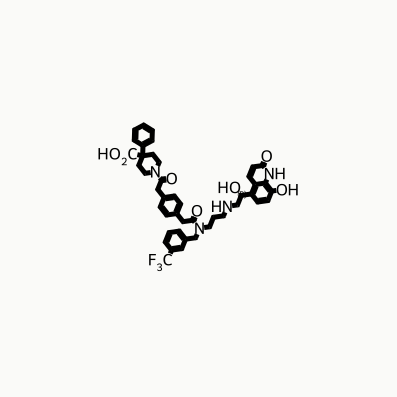 O=C(Cc1ccc(CC(=O)N(CCCNC[C@H](O)c2ccc(O)c3[nH]c(=O)ccc23)Cc2cccc(C(F)(F)F)c2)cc1)N1CCC(C(=O)O)(c2ccccc2)CC1